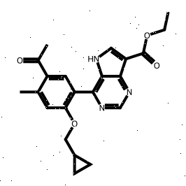 CCOC(=O)c1c[nH]c2c(-c3cc(C(C)=O)c(C)cc3OCC3CC3)ncnc12